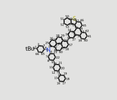 CC(C)(C)c1ccc(N(c2ccc(-c3ccc(-c4ccccc4)cc3)cc2)c2ccc3ccc4c(-c5ccc6c(c5)c5ccccc5c5ccc7sc8ccccc8c7c56)ccc5ccc2c3c54)cc1